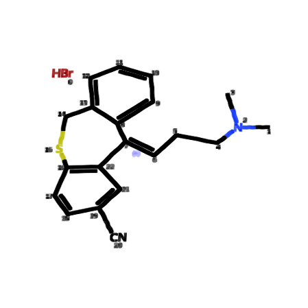 Br.CN(C)CC/C=C1\c2ccccc2CSc2ccc(C#N)cc21